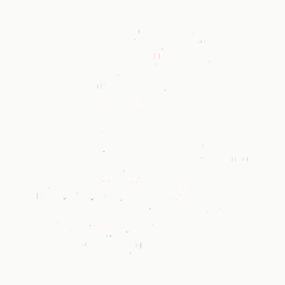 CCCCc1cc(C(C)(C)C)c(O)cc1C.Cc1cc(Cc2cc(C)cc(C(C)(C)C)c2OC(=O)c2ccc(C(=O)Oc3c(Cc4cc(C)cc(C(C)(C)C)c4O)cc(C)cc3C(C)(C)C)cc2)c(O)c(C(C)(C)C)c1